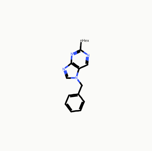 CCCCCCc1n[c]c2c(ncn2Cc2ccccc2)n1